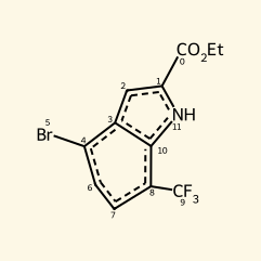 CCOC(=O)c1cc2c(Br)ccc(C(F)(F)F)c2[nH]1